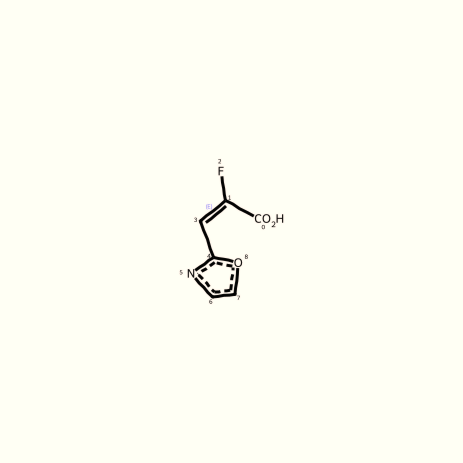 O=C(O)/C(F)=C\c1ncco1